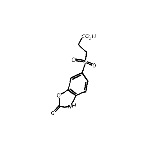 O=C(O)CCS(=O)(=O)c1ccc2[nH]c(=O)oc2c1